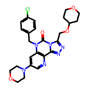 O=c1n(Cc2ccc(Cl)cc2)c2cc(N3CCOCC3)cnc2c2nnc(COC3CCOCC3)n12